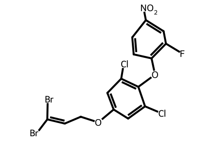 O=[N+]([O-])c1ccc(Oc2c(Cl)cc(OCC=C(Br)Br)cc2Cl)c(F)c1